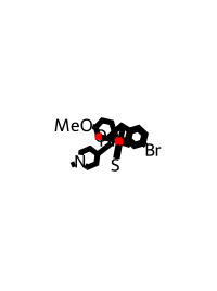 COC1CCC2(CC1)Cc1ccc(Br)cc1C21NC(=S)N(C2CCN(C)CC2)C1=O